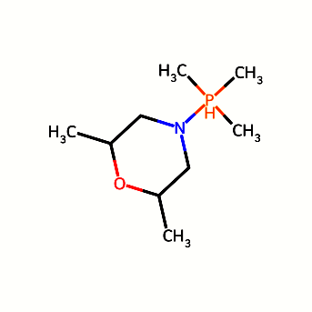 CC1CN([PH](C)(C)C)CC(C)O1